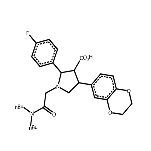 CCCCN(CCCC)C(=O)CN1CC(c2ccc3c(c2)OCCO3)C(C(=O)O)C1c1ccc(F)cc1